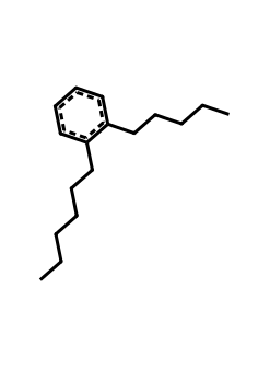 CCCCCCc1ccccc1CCCCC